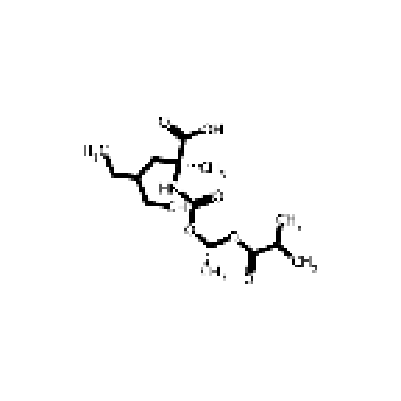 CCC(CC)C[C@](C)(NC(=O)O[C@@H](C)OC(=O)C(C)C)C(=O)O